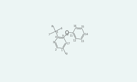 Cc1ccc(C(C)(C)C)c(Oc2ccccc2)c1